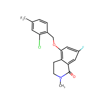 CN1CCc2c(OCc3ccc(C(F)(F)F)cc3Cl)cc(F)cc2C1=O